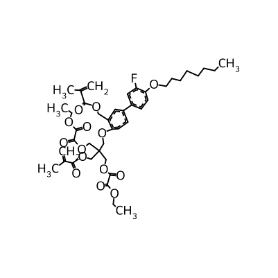 C=C(C)C(=O)OCc1cc(-c2ccc(OCCCCCCCC)c(F)c2)ccc1OCC(COC(=O)C(=C)C)(COC(=O)C(=O)OCC)COC(=O)C(=O)OCC